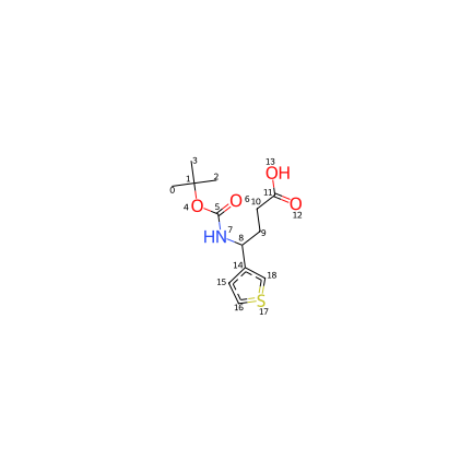 CC(C)(C)OC(=O)NC(CCC(=O)O)c1ccsc1